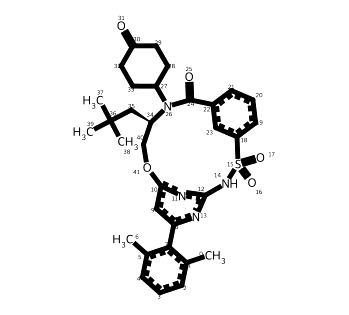 Cc1cccc(C)c1-c1cc2nc(n1)NS(=O)(=O)c1cccc(c1)C(=O)N(C1CCC(=O)CC1)[C@H](CC(C)(C)C)CO2